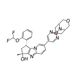 C[C@@]1(O)C[C@H](c2ccccc2OC(F)F)c2c1nc1ccc(-c3cnc(N4C5COCC4COC5)nc3)cn21